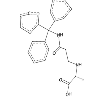 C[C@@H](NCCC(=O)NC(c1ccccc1)(c1ccccc1)c1ccccc1)C(=O)O